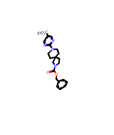 CCOC(=O)c1cnc(N2CCC3(CCN(C(=O)OCc4ccccc4)C3)CC2)nc1